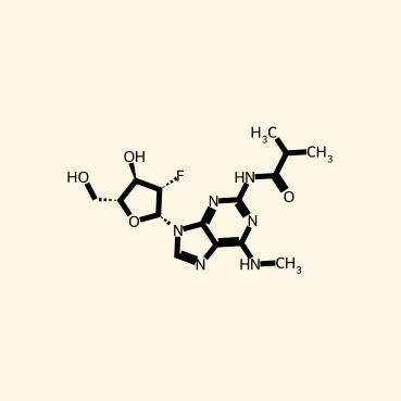 CNc1nc(NC(=O)C(C)C)nc2c1ncn2[C@@H]1O[C@H](CO)[C@@H](O)[C@@H]1F